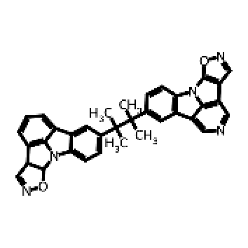 CC(C)(c1ccc2c(c1)c1cccc3c1n2C1ON=CC31)C(C)(C)c1ccc2c(c1)c1cncc3c4cnoc4n2c13